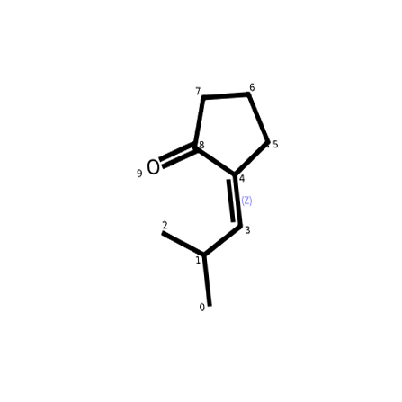 CC(C)/C=C1/[CH]CCC1=O